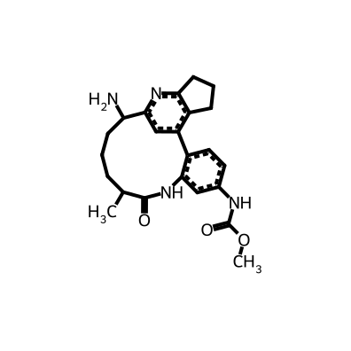 COC(=O)Nc1ccc2c(c1)NC(=O)C(C)CCCC(N)c1cc-2c2c(n1)CCC2